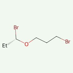 CC[C@H](Br)OCCCBr